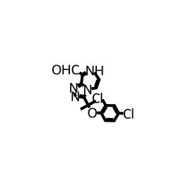 C/C=C\n1c(C(=N)C=O)nnc1C(C)(C)Oc1ccc(Cl)cc1Cl